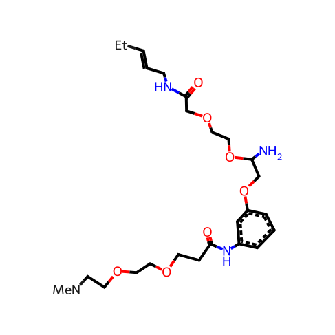 CC/C=C/CNC(=O)COCCOC(N)COc1cccc(NC(=O)CCOCCOCCNC)c1